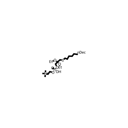 CCCCCCCCCCCCCCCCSCC(COP(=O)(O)OCC[N+](C)(C)C)(OCC)OCC